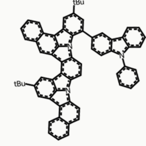 CC(C)(C)c1cc(-c2ccc3c(c2)c2ccccc2n3-c2ccccc2)c2c(c1)c1c3ccccc3cc3c4c5c6cc(C(C)(C)C)cc7c8c9ccccc9ccc8n(c5ccc4n2c31)c76